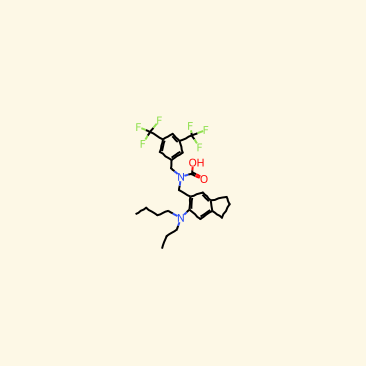 CCCCN(CCC)c1cc2c(cc1CN(Cc1cc(C(F)(F)F)cc(C(F)(F)F)c1)C(=O)O)CCC2